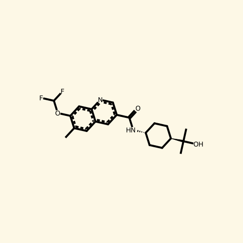 Cc1cc2cc(C(=O)N[C@H]3CC[C@H](C(C)(C)O)CC3)cnc2cc1OC(F)F